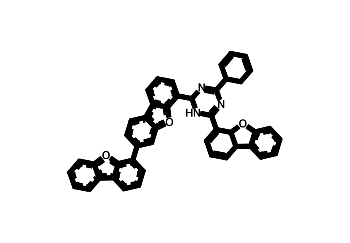 C1=CCC(C2=NC(c3cccc4c3oc3cc(-c5cccc6c5oc5ccccc56)ccc34)NC(C3=CC=CC4c5ccccc5OC34)=N2)C=C1